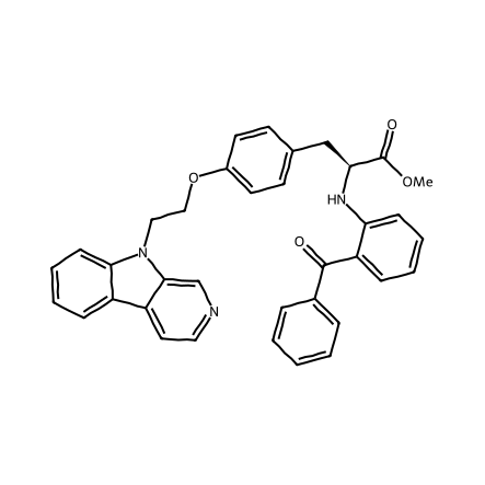 COC(=O)[C@H](Cc1ccc(OCCn2c3ccccc3c3ccncc32)cc1)Nc1ccccc1C(=O)c1ccccc1